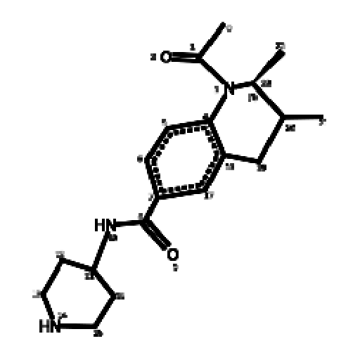 CC(=O)N1c2ccc(C(=O)NC3CCNCC3)cc2CC(C)[C@@H]1C